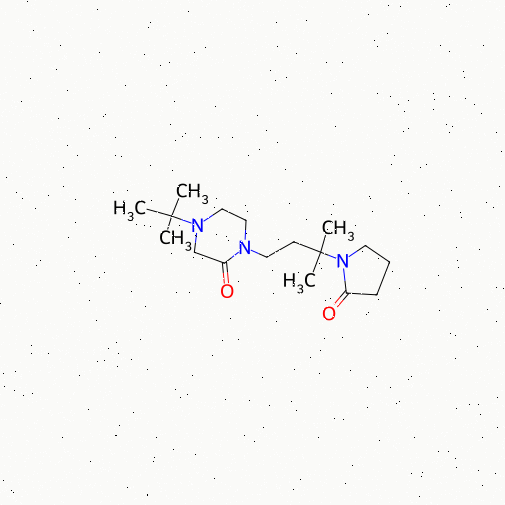 CC(C)(C)N1CCN(CCC(C)(C)N2CCCC2=O)C(=O)C1